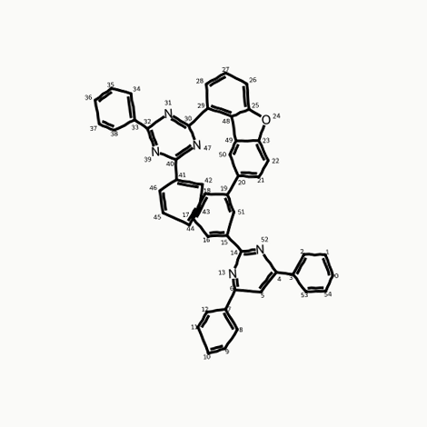 c1ccc(-c2cc(-c3ccccc3)nc(-c3cccc(-c4ccc5oc6cccc(-c7nc(-c8ccccc8)nc(-c8ccccc8)n7)c6c5c4)c3)n2)cc1